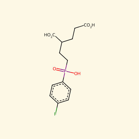 O=C(O)CCC(CCP(=O)(O)c1ccc(F)cc1)C(=O)O